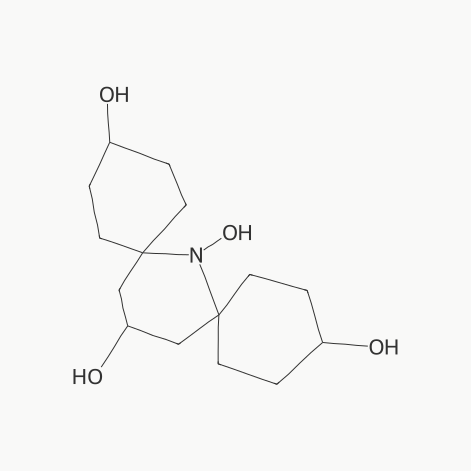 OC1CCC2(CC1)CC(O)CC1(CCC(O)CC1)N2O